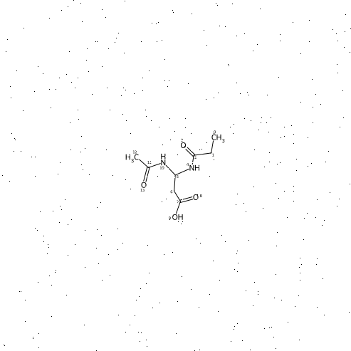 CCC(=O)NC(CC(=O)O)NC(C)=O